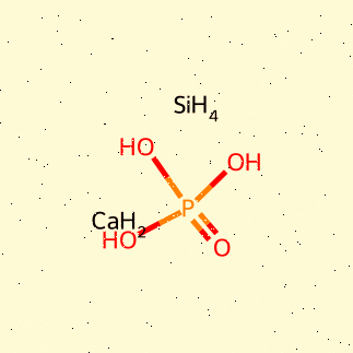 O=P(O)(O)O.[CaH2].[SiH4]